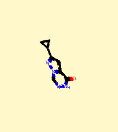 O=c1[nH]ncn2nc(C3CC3)cc12